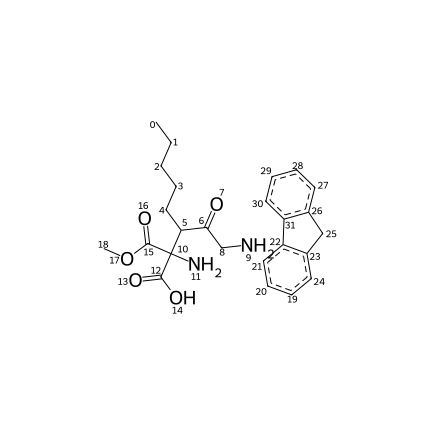 CCCCCC(C(=O)CN)C(N)(C(=O)O)C(=O)OC.c1ccc2c(c1)Cc1ccccc1-2